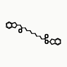 O=C(CCCCCCCCC(=O)OC1Cc2ccccc2C1)CC1Cc2ccccc2C1